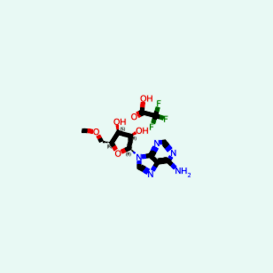 COC[C@H]1O[C@@H](n2cnc3c(N)ncnc32)[C@H](O)[C@@H]1O.O=C(O)C(F)(F)F